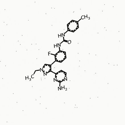 CCn1cc(-c2cccc(NC(=O)Nc3ccc(C)cc3)c2F)c(-c2ccnc(N)n2)n1